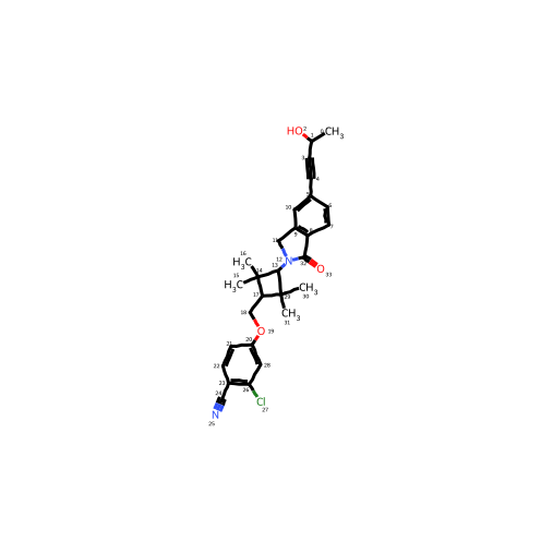 CC(O)C#Cc1ccc2c(c1)CN(C1C(C)(C)C(COc3ccc(C#N)c(Cl)c3)C1(C)C)C2=O